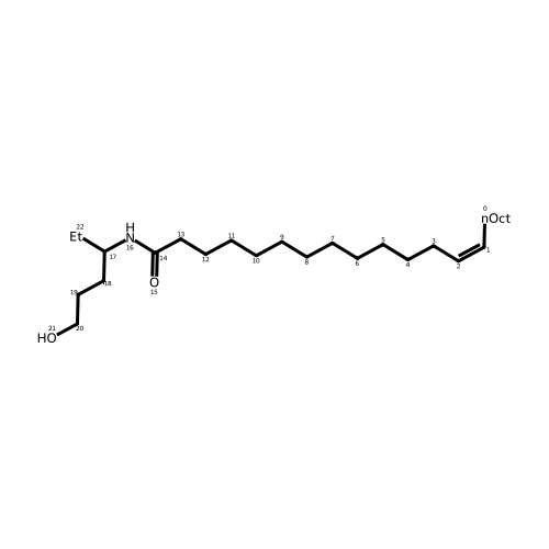 CCCCCCCC/C=C\CCCCCCCCCCCC(=O)NC([CH]CCO)CC